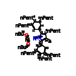 CCCCCC1=C(c2cc(CCCCC)c(CCCCC)c(CCCCC)c2)[N+](=[N-])C(c2cc(CCCCC)c(CCCCC)c(CCCCC)c2)=C1C.CCCC[O][Ni][O]CCCC